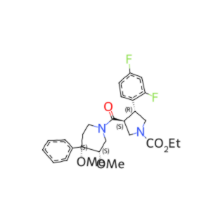 CCOC(=O)N1C[C@@H](C(=O)N2CC[C@](OC)(c3ccccc3)[C@@H](OC)C2)[C@H](c2ccc(F)cc2F)C1